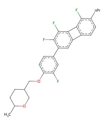 CCCc1ccc2c(c1F)-c1c-2cc(-c2ccc(OCC3CCC(C)OC3)c(F)c2)c(F)c1F